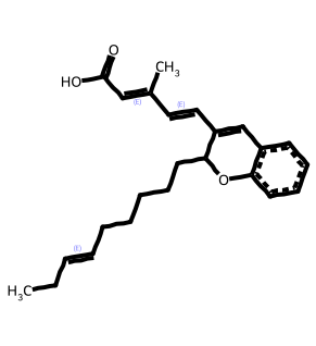 CC/C=C/CCCCCC1Oc2ccccc2C=C1/C=C/C(C)=C/C(=O)O